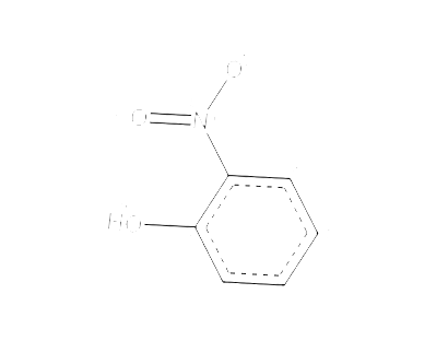 O=[N+]([O-])c1ccc[c]c1O